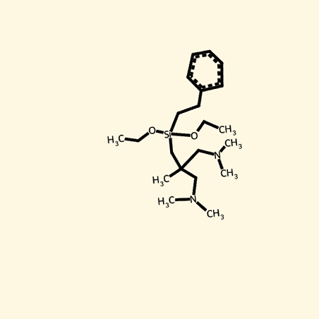 CCO[Si](CCc1ccccc1)(CC(C)(CN(C)C)CN(C)C)OCC